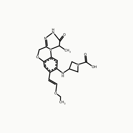 CCO/C=C/c1cc2c(cc1NC1CN(C(=O)O)C1)N1C(=NNC(=O)C1C)CO2